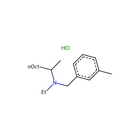 CCCCCCCCC(C)N(CC)Cc1cccc(C)c1.Cl